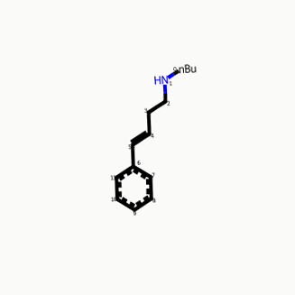 CCCCNCCC=Cc1ccccc1